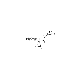 CNCC[C@H](C)NC